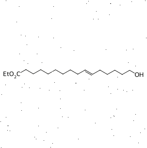 CCOC(=O)CCCCCCCC/C=C/CCCCCO